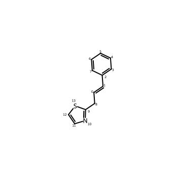 C(=Cc1ccccc1)Cc1nccs1